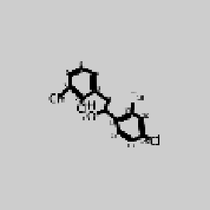 OC(Cc1cccc(Cl)c1Cl)c1ccc(Cl)cc1F